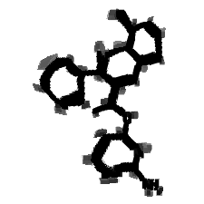 Cc1cccc2cc(C(C)Oc3ccnc(N)n3)c(-c3cccnc3)nc12